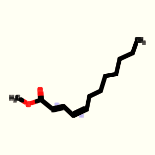 CCCCCCC/C=C\C=C\C(=O)OC